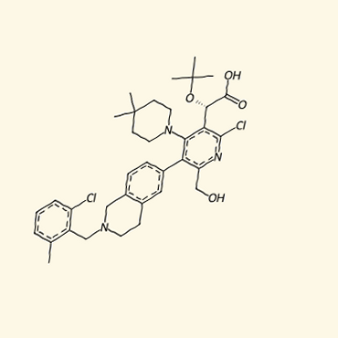 Cc1cccc(Cl)c1CN1CCc2cc(-c3c(CO)nc(Cl)c([C@H](OC(C)(C)C)C(=O)O)c3N3CCC(C)(C)CC3)ccc2C1